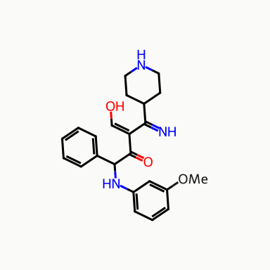 COc1cccc(NC(C(=O)/C(=C/O)C(=N)C2CCNCC2)c2ccccc2)c1